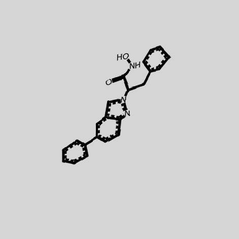 O=C(NO)C(Cc1ccccc1)n1cc2cc(-c3ccccc3)ccc2n1